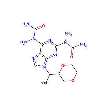 CCCCC(C1COCCO1)n1cnc2c(N(N)C(N)=O)nc(N(N)C(N)=O)nc21